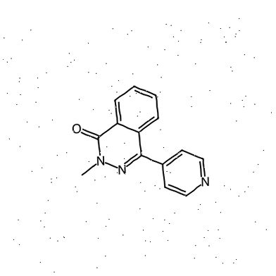 Cn1nc(-c2ccncc2)c2ccccc2c1=O